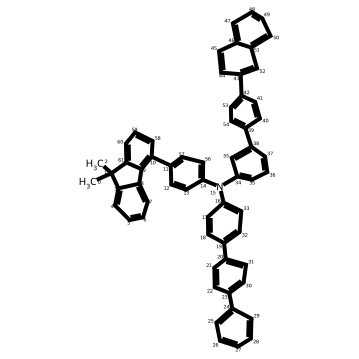 CC1(C)c2ccccc2-c2c(-c3ccc(N(c4ccc(-c5ccc(-c6ccccc6)cc5)cc4)c4cccc(-c5ccc(-c6ccc7ccccc7c6)cc5)c4)cc3)cccc21